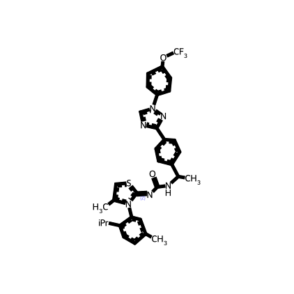 Cc1ccc(C(C)C)c(-n2c(C)cs/c2=N\C(=O)NC(C)c2ccc(-c3ncn(-c4ccc(OC(F)(F)F)cc4)n3)cc2)c1